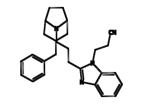 N#CCCn1c(CCCN2C3CCC2CC(Cc2ccccc2)C3)nc2ccccc21